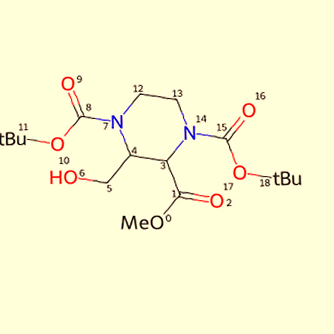 COC(=O)C1C(CO)N(C(=O)OC(C)(C)C)CCN1C(=O)OC(C)(C)C